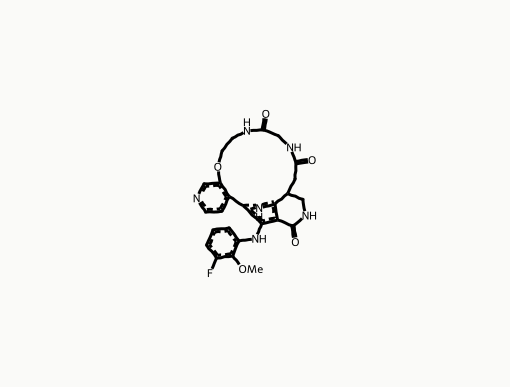 COc1c(F)cccc1Nc1c2[nH]c3c1C(=O)NCC3CC(=O)NCC(=O)NCCOc1cnccc1-2